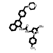 Cc1ccc(-n2nc(C(C)(C)C)cc2NC(=O)Nc2cc(-c3ccc(CN4CCOCC4)cc3)cc3ccccc23)cc1